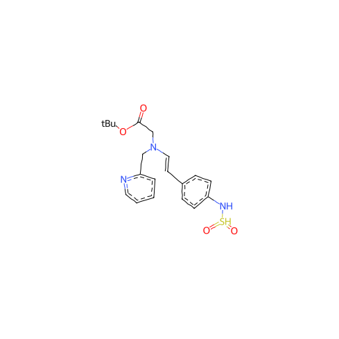 CC(C)(C)OC(=O)CN(C=Cc1ccc(N[SH](=O)=O)cc1)Cc1ccccn1